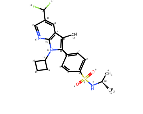 C[C@H](NS(=O)(=O)c1ccc(-c2c(C#N)c3cc(C(F)F)cnc3n2C2CCC2)cc1)C(F)(F)F